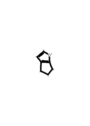 c1cc2c(o1)CCC2